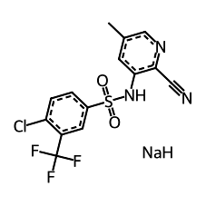 Cc1cnc(C#N)c(NS(=O)(=O)c2ccc(Cl)c(C(F)(F)F)c2)c1.[NaH]